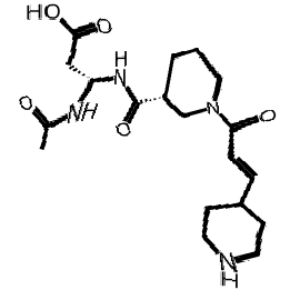 CC(=O)N[C@H](CC(=O)O)NC(=O)[C@@H]1CCCN(C(=O)C=CC2CCNCC2)C1